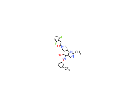 Cc1ncc(C(CO)=NOc2cccc(C(F)(F)F)c2)c(C2CCN(C(=O)Cc3c(F)cccc3F)CC2)n1